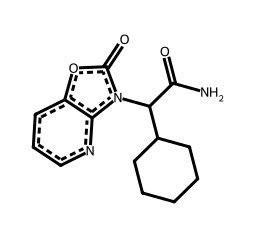 NC(=O)C(C1CCCCC1)n1c(=O)oc2cccnc21